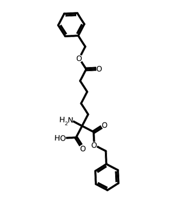 NC(CCCCC(=O)OCc1ccccc1)(C(=O)O)C(=O)OCc1ccccc1